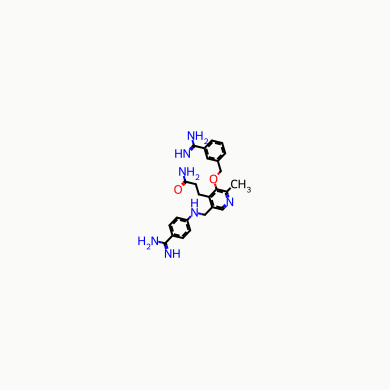 Cc1ncc(CNc2ccc(C(=N)N)cc2)c(CCC(N)=O)c1OCc1cccc(C(=N)N)c1